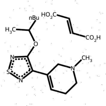 CCCCC(C)Oc1nsnc1C1=CCCN(C)C1.O=C(O)/C=C/C(=O)O